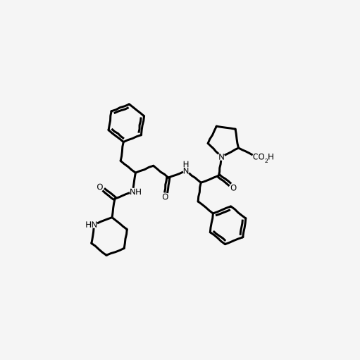 O=C(CC(Cc1ccccc1)NC(=O)C1CCCCN1)NC(Cc1ccccc1)C(=O)N1CCCC1C(=O)O